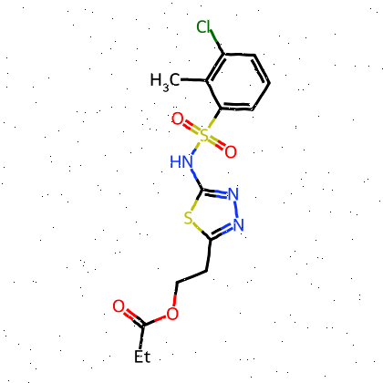 CCC(=O)OCCc1nnc(NS(=O)(=O)c2cccc(Cl)c2C)s1